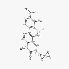 C[C@H](Nc1ncnc2c(Br)c(=O)n(C3CC34CC4)cc12)c1cccc(C(F)F)c1F